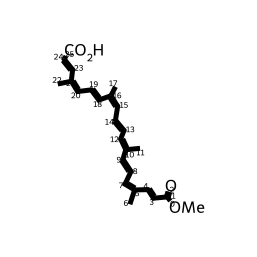 COC(=O)/C=C/C(C)=C\C=C\C(C)=C\C=CC=C(C)C=C/C=C(C)\C=C\C(=O)O